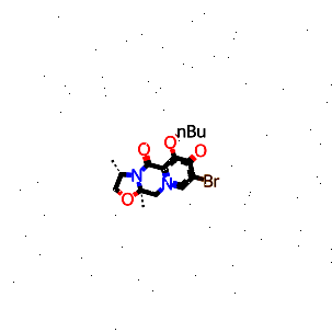 CCCCOc1c2n(cc(Br)c1=O)C[C@@]1(C)OC[C@H](C)N1C2=O